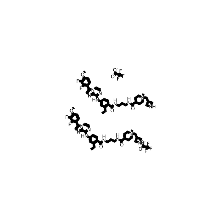 CCc1cc(Nc2nccn3c(-c4ccc(OC)c(F)c4F)cnc23)ccc1C(=O)NCCCNC(=O)C1CC[N+](C)(CC2CNC2)CC1.CCc1cc(Nc2nccn3c(-c4ccc(OC)c(F)c4F)cnc23)ccc1C(=O)NCCCNC(=O)C1CC[N+](C)(CC2CNC2)CC1.O=C([O-])C(F)(F)F.O=C([O-])C(F)(F)F